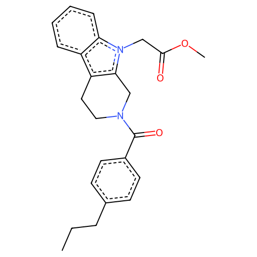 CCCc1ccc(C(=O)N2CCc3c(n(CC(=O)OC)c4ccccc34)C2)cc1